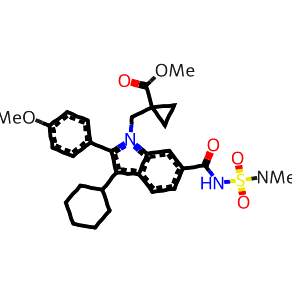 CNS(=O)(=O)NC(=O)c1ccc2c(C3CCCCC3)c(-c3ccc(OC)cc3)n(CC3(C(=O)OC)CC3)c2c1